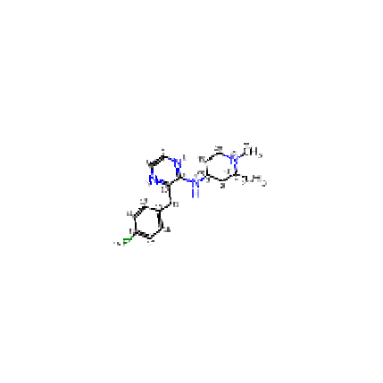 C[C@H]1C[C@@H](Nc2nccnc2Cc2ccc(F)cc2)CCN1C